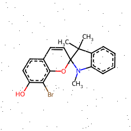 CN1c2ccccc2C(C)(C)C12C=Cc1ccc(O)c(Br)c1O2